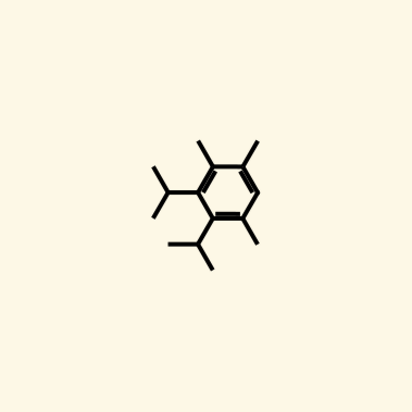 Cc1cc(C)c(C(C)C)c(C(C)C)c1C